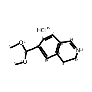 COC(OC)c1ccc2c(c1)CCN=C2.Cl